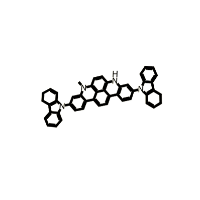 CN1c2cc(-n3c4c(c5ccccc53)CCC=C4)ccc2-c2ccc3c4c(ccc1c24)Nc1cc(-n2c4c(c5ccccc52)CCC=C4)ccc1-3